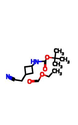 CC(C)(C)OC(=O)NC1CC(CC#N)C1.CCOC=O